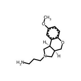 COc1ccc2c(c1)[C@@H]1CN(CCCN)C[C@@H]1CO2